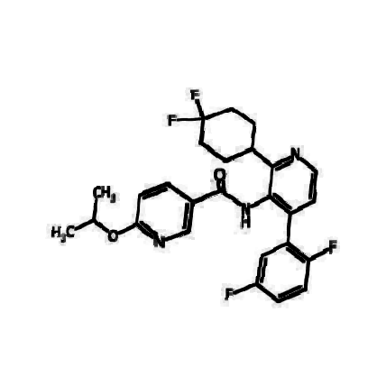 CC(C)Oc1ccc(C(=O)Nc2c(-c3cc(F)ccc3F)ccnc2C2CCC(F)(F)CC2)cn1